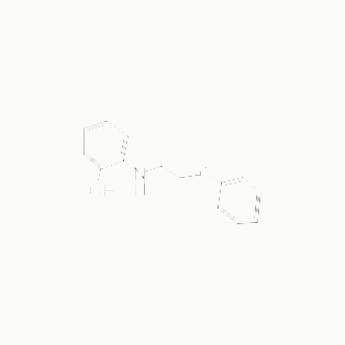 Oc1ccccc1NCCOc1[c]cccc1